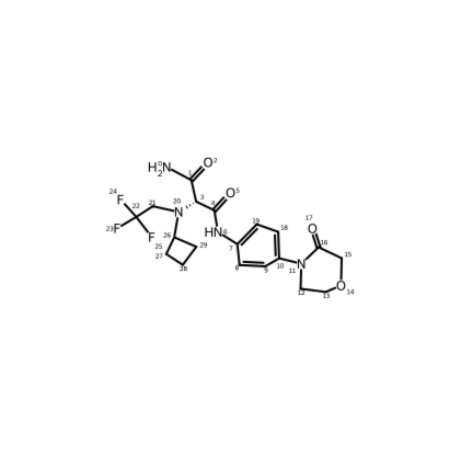 NC(=O)[C@H](C(=O)Nc1ccc(N2CCOCC2=O)cc1)N(CC(F)(F)F)C1CCC1